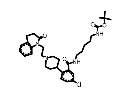 CC(C)(C)OC(=O)NCCCCCNC(=O)c1cc(Cl)ccc1C1CCN(CCN2C(=O)CCc3ccccc32)CC1